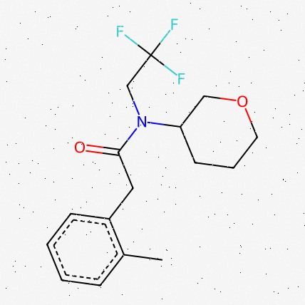 Cc1ccccc1CC(=O)N(CC(F)(F)F)C1CCCOC1